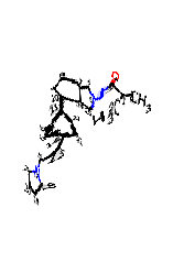 CC(C)C(=O)N1CC2CCC(c3ccc(CCN4CCCC4)cc3)C2C1